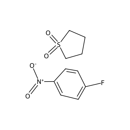 O=S1(=O)CCCC1.O=[N+]([O-])c1ccc(F)cc1